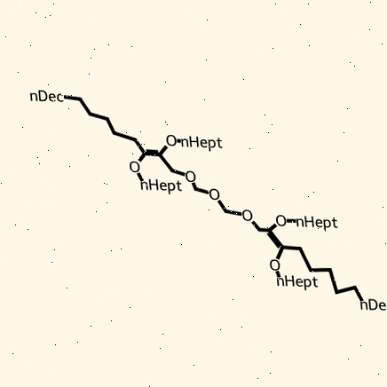 CCCCCCCCCCCCCCCC(OCCCCCCC)=C(COCOCOCC(OCCCCCCC)=C(CCCCCCCCCCCCCCC)OCCCCCCC)OCCCCCCC